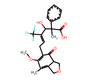 COC1=C(CC=C(C(O)C(C)(C(=O)O)c2ccccc2)C(F)(F)F)C(=O)C2COCC2=C1C